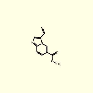 COC(=O)c1cnc2ncc(C=O)n2c1